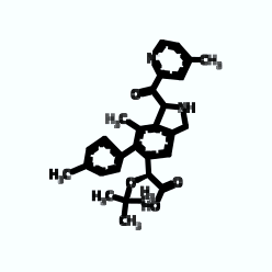 Cc1ccc(-c2c([C@H](OC(C)(C)C)C(=O)O)cc3c(c2C)C(C(=O)c2cc(C)ccn2)NC3)cc1